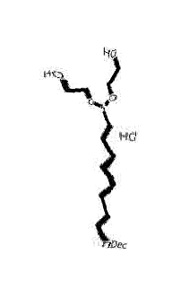 CCCCCCCCCCCCCCCCCCN(OCCO)OCCO.Cl